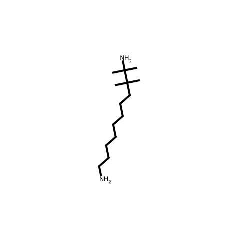 CC(C)(N)C(C)(C)CCCCCCCCN